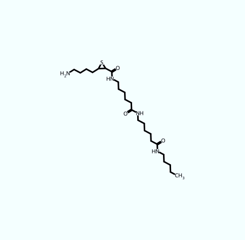 CCCCCNC(=O)CCCCCNC(=O)CCCCCNC(=O)C1SC1CCCCN